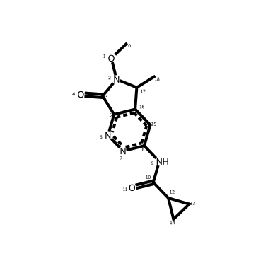 CON1C(=O)c2nnc(NC(=O)C3CC3)cc2C1C